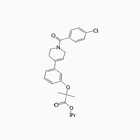 CC(C)OC(=O)C(C)(C)Oc1cccc(C2=CCN(C(=O)c3ccc(Cl)cc3)CC2)c1